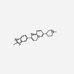 Cc1nc2ccc(C3=CCN4C=C(C5CCN(C)CC5)C=CC4=N3)cc2s1